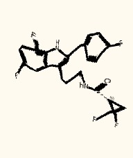 O=C(NCCc1c(-c2ccc(F)cc2)[nH]c2c(F)cc(F)cc12)[C@@H]1CC1(F)F